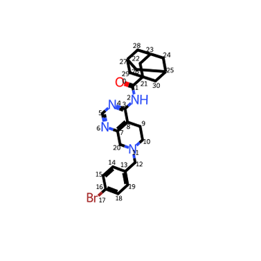 O=C(Nc1ncnc2c1CCN(Cc1ccc(Br)cc1)C2)C12CC3CC(CC(C3)C1)C2